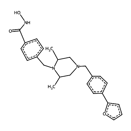 CC1CN(Cc2ccc(-c3ccco3)cc2)CC(C)N1Cc1ccc(C(=O)NO)cc1